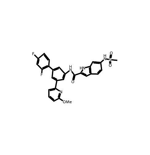 COc1cccc(-c2cc(NC(=O)c3cc4ccc(NS(C)(=O)=O)cc4[nH]3)cc(-c3ccc(F)cc3F)c2)n1